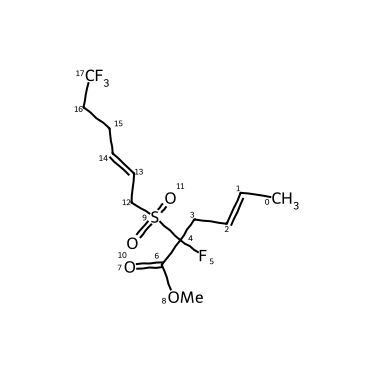 CC=CCC(F)(C(=O)OC)S(=O)(=O)CC=CCCC(F)(F)F